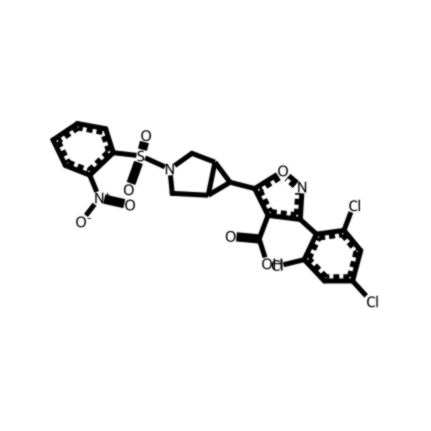 O=C(O)c1c(-c2c(Cl)cc(Cl)cc2Cl)noc1C1C2CN(S(=O)(=O)c3ccccc3[N+](=O)[O-])CC21